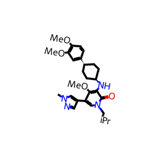 COc1ccc([C@H]2CC[C@H](Nc3c(OC)c(-c4cnn(C)c4)cn(CC(C)C)c3=O)CC2)cc1OC